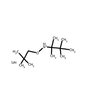 [CH2]C(C)(C)CO[SiH2]C(C)(C)C(C)(C)C.[LiH]